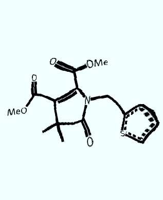 COC(=O)C1=C(C(=O)OC)C(C)(C)C(=O)N1Cc1cccs1